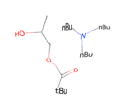 CC(O)COC(=O)C(C)(C)C.CCCCN(CCCC)CCCC